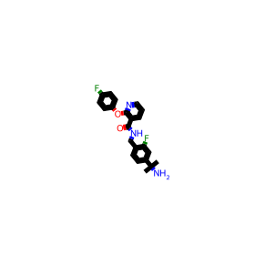 CC(C)(N)c1ccc(CNC(=O)c2cccnc2Oc2ccc(F)cc2)c(F)c1